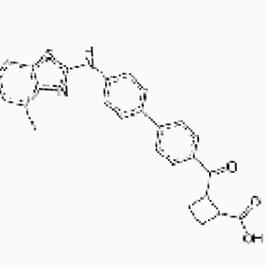 Cc1cccc2sc(Nc3ccc(-c4ccc(C(=O)C5CCC5C(=O)O)cc4)cc3)nc12